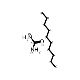 CCCCCCCCCC.NC(N)=O